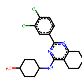 OC1CCC(Nc2nc(-c3ccc(Cl)c(Cl)c3)nc3c2CCCC3)CC1